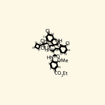 CCOC(=O)c1ccc(NC(=O)[C@@H]2N[C@@H](C[C@@](C)(C3CCC3)C(F)(F)F)[C@@]3(C(=O)Nc4cc(Cl)ccc43)C2c2cccc(Cl)c2F)c(OC)c1